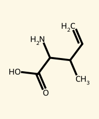 C=CC(C)C(N)C(=O)O